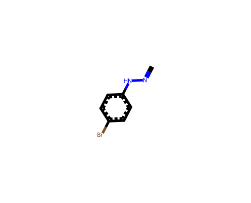 C=NNc1ccc(Br)cc1